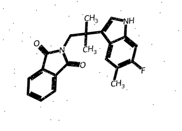 Cc1cc2c(C(C)(C)CN3C(=O)c4ccccc4C3=O)c[nH]c2cc1F